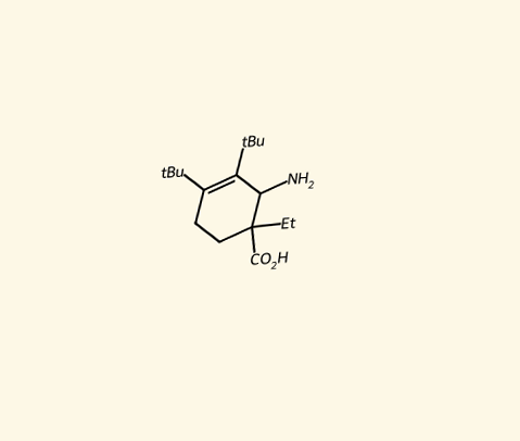 CCC1(C(=O)O)CCC(C(C)(C)C)=C(C(C)(C)C)C1N